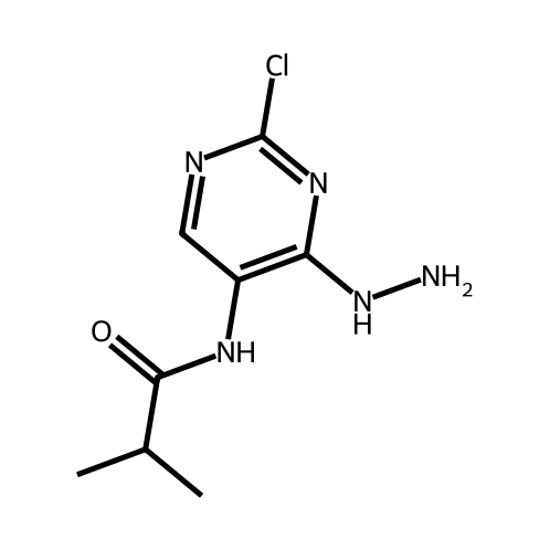 CC(C)C(=O)Nc1cnc(Cl)nc1NN